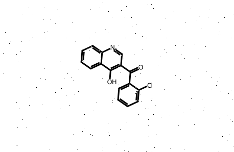 O=C(c1ccccc1Cl)c1cnc2ccccc2c1O